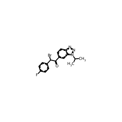 CC(C)n1nnc2ccc(C(=O)C(Br)c3ccc(F)cc3)cc21